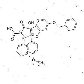 COc1ccc([C@@]23Oc4cc(OCc5ccccc5)cnc4[C@]2(O)C(=O)[C@H](C(=O)O)[C@H]3c2ccccc2)cc1